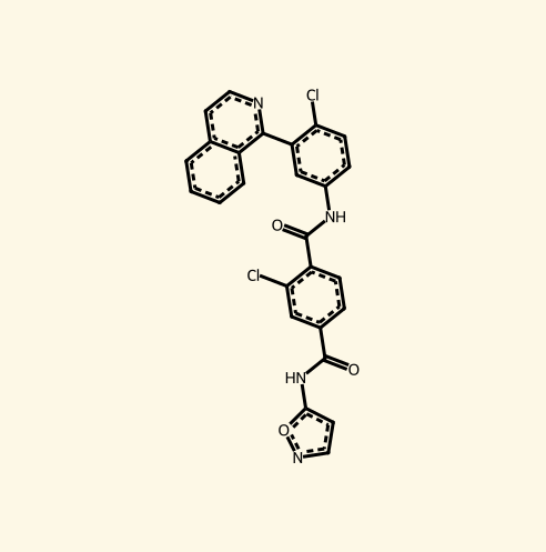 O=C(Nc1ccno1)c1ccc(C(=O)Nc2ccc(Cl)c(-c3nccc4ccccc34)c2)c(Cl)c1